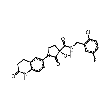 O=C1CCc2cc(N3CC[C@](O)(C(=O)NCc4cc(F)ccc4Cl)C3=O)ccc2N1